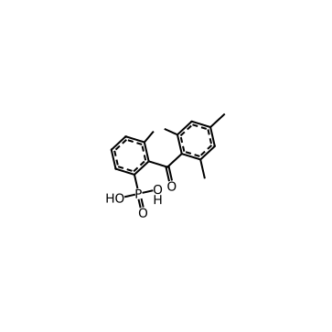 Cc1cc(C)c(C(=O)c2c(C)cccc2P(=O)(O)O)c(C)c1